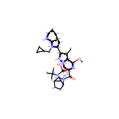 COc1nc(C(=O)N2CC3CCC2[C@@H]3N(C(=O)O)C(C)(C)C)cn2nc(-c3cc4cccnc4n3CC3CC3)c(C)c12